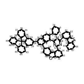 c1ccc(-c2ccccc2-c2nc(-c3cccc4oc5ccc(-c6cccc(-c7ccc8c(c7)-c7ccccc7C87c8ccccc8-c8ccccc87)c6)cc5c34)nc(-c3cccc4sc5ccccc5c34)n2)cc1